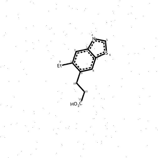 CCc1cc2ncsc2cc1CCC(=O)O